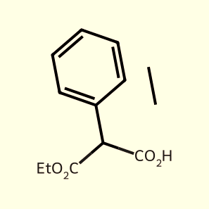 CC.CCOC(=O)C(C(=O)O)c1ccccc1